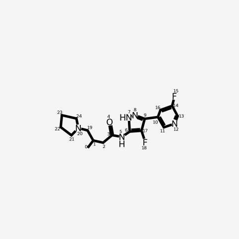 CC(CC(=O)Nc1[nH]nc(-c2cncc(F)c2)c1F)CN1CCCC1